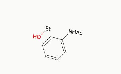 CC(=O)Nc1ccccc1.CCO